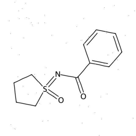 O=C(N=S1(=O)CCCC1)c1ccccc1